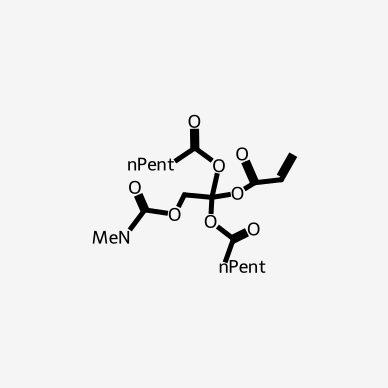 C=CC(=O)OC(COC(=O)NC)(OC(=O)CCCCC)OC(=O)CCCCC